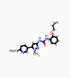 COc1ccc(-c2cc(NC(=O)Nc3ccccc3OCCC(C)C)nn2C)cn1